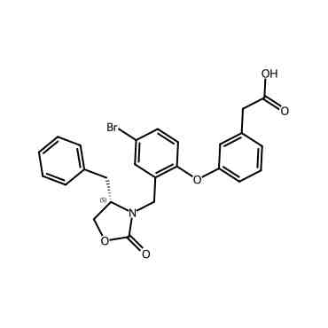 O=C(O)Cc1cccc(Oc2ccc(Br)cc2CN2C(=O)OC[C@@H]2Cc2ccccc2)c1